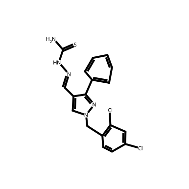 NC(=S)N/N=C/c1cn(Cc2ccc(Cl)cc2Cl)nc1-c1ccccc1